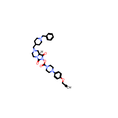 C#CCOc1ccc(N2CCN(C(=O)ON3C(=O)[C@@H]4CN(CC5CCN(Cc6ccccc6)CC5)CCN4C3=O)CC2)cc1